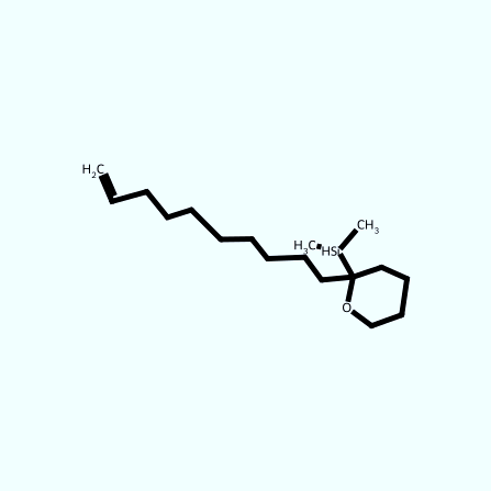 C=CCCCCCCCCC1([SiH](C)C)CCCCO1